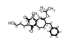 CC(C)OC1=Nc2c(c(=O)n(CCCO)c(=O)n2C)CCC1Cc1ccccc1